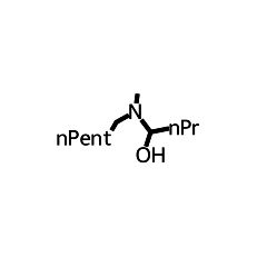 CCCCCCN(C)C(O)CCC